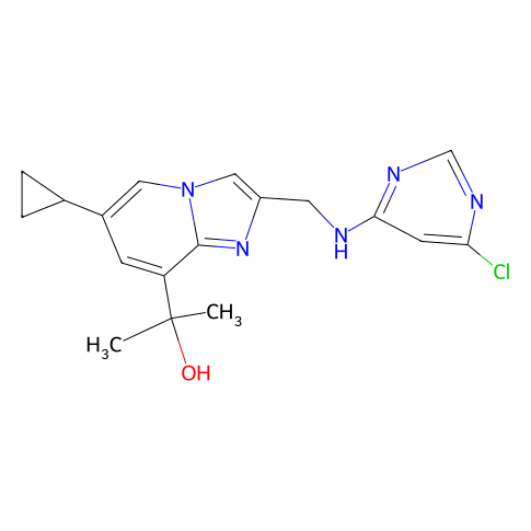 CC(C)(O)c1cc(C2CC2)cn2cc(CNc3cc(Cl)ncn3)nc12